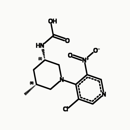 C[C@@H]1C[C@H](NC(=O)O)CN(c2c(Cl)cncc2[N+](=O)[O-])C1